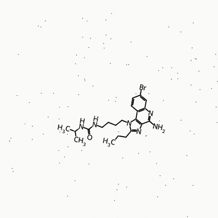 CCCc1nc2c(N)nc3cc(Br)ccc3c2n1CCCCNC(=O)NC(C)C